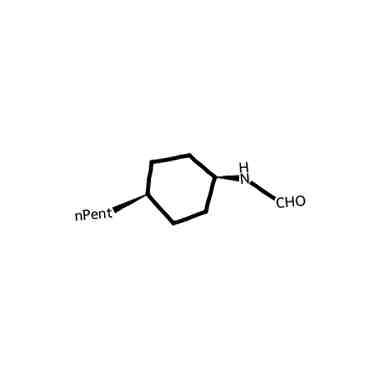 CCCCC[C@H]1CC[C@@H](NC=O)CC1